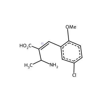 COc1ccc(Cl)cc1/C=C(/C(=O)O)C(C)N